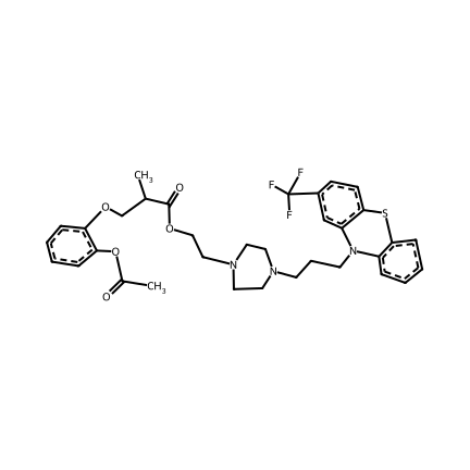 CC(=O)Oc1ccccc1OCC(C)C(=O)OCCN1CCN(CCCN2c3ccccc3Sc3ccc(C(F)(F)F)cc32)CC1